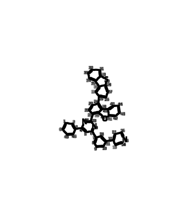 c1ccc(-c2cc(-c3cccc(-c4ccncc4)c3)nc(-c3ccc(-c4ccc5sc6ccccc6c5c4)c4c3oc3ccccc34)n2)cc1